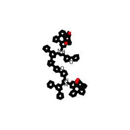 c1ccc(-c2cc(-c3cccc(-c4ccc5c(c4)oc4ccc(-c6cc(-c7cc(-c8ccccc8)cc(-c8ccccc8)c7)nc(-c7ccc8c(c7)-c7ccccc7-c7ccccc7C87c8ccccc8-c8ccccc87)n6)cc45)c3)cc(-c3cc(-c4ccc5oc6ccccc6c5c4)nc(-c4ccc5c(c4)-c4ccccc4-c4ccccc4C54c5ccccc5-c5ccccc54)n3)c2)cc1